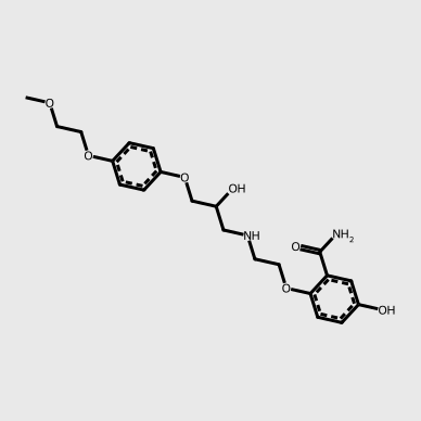 COCCOc1ccc(OCC(O)CNCCOc2ccc(O)cc2C(N)=O)cc1